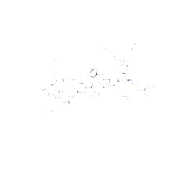 N=C(N)NCC/C=C(\NC(=O)[C@H](CCCCN)NC(=O)[C@H](Cc1cnc[nH]1)NC(=O)[C@@H]1CCCN1C(=O)[C@@H](CCCN)NC(=O)CNC(=O)[C@H](CCCN)NC(=O)[C@@H](NC(=O)[C@@H](N)CCCCN)[C@@H](O)CN)C(=O)N[C@@H](CCCCN)C(=O)NCCCCN